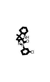 CC1=NN(c2cccc(Cl)c2)C(=O)C12Nc1ccccc1C2(C)C